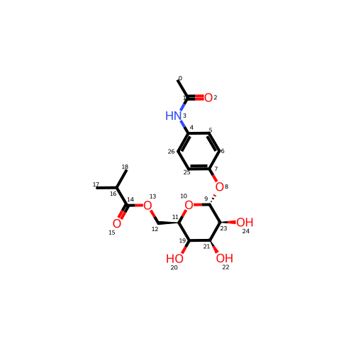 CC(=O)Nc1ccc(O[C@H]2O[C@H](COC(=O)C(C)C)C(O)[C@H](O)[C@@H]2O)cc1